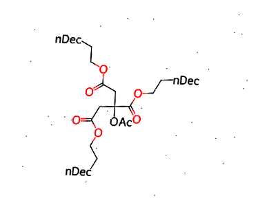 CCCCCCCCCCCCOC(=O)CC(CC(=O)OCCCCCCCCCCCC)(OC(C)=O)C(=O)OCCCCCCCCCCCC